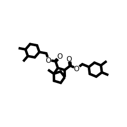 CC1CCC(COC(=O)C2C3CCC(C)(C3)C2C(=O)OCC2CCC(C)C(C)C2)CC1C